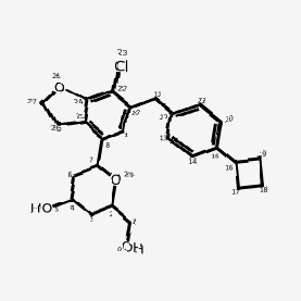 OCC1CC(O)CC(c2cc(Cc3ccc(C4CCC4)cc3)c(Cl)c3c2CCO3)O1